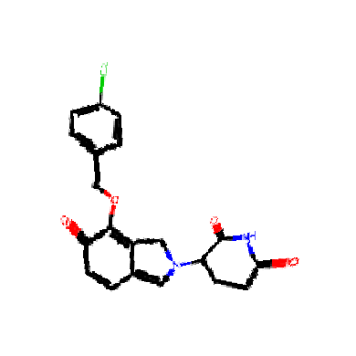 O=C1CCC(N2C=C3C=CC(=O)C(OCc4ccc(Cl)cc4)=C3C2)C(=O)N1